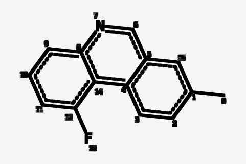 Cc1ccc2c(cnc3cccc(F)c32)c1